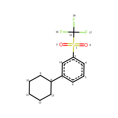 O=S(=O)(c1cccc(C2CCCCC2)c1)C(F)(F)F